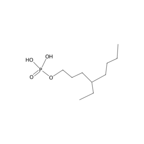 CCCCC(CC)CCCOP(=O)(O)O